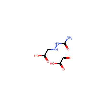 NC(=O)NNCC(=O)O.O=CC(=O)O